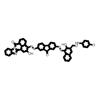 O=C1c2cc(N=Nc3c(O)c(CONc4ccc(Cl)cc4)cc4ccccc34)ccc2-c2ccc(N=Nc3c(O)cc4c5c3cccc5c(=O)n3c5ccccc5nc43)cc21